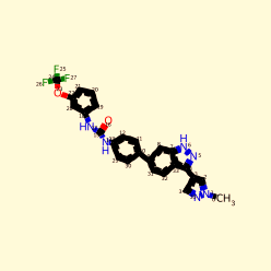 Cn1cc(-c2n[nH]c3cc(-c4ccc(NC(=O)Nc5cccc(OC(F)(F)F)c5)cc4)ccc23)cn1